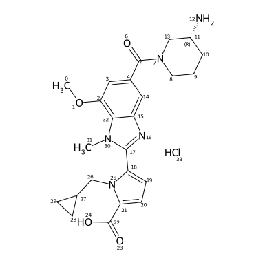 COc1cc(C(=O)N2CCC[C@@H](N)C2)cc2nc(-c3ccc(C(=O)O)n3CC3CC3)n(C)c12.Cl